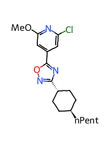 CCCCC[C@H]1CC[C@H](c2noc(-c3cc(Cl)nc(OC)c3)n2)CC1